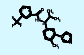 Cc1ccc([C@@H](NC(=O)c2cccc(C(F)(F)F)c2)C(C)C)cc1-n1ccnc1